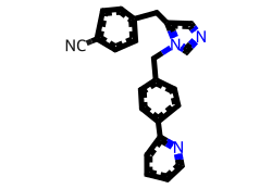 N#Cc1ccc(Cc2cncn2Cc2ccc(-c3ccccn3)cc2)cc1